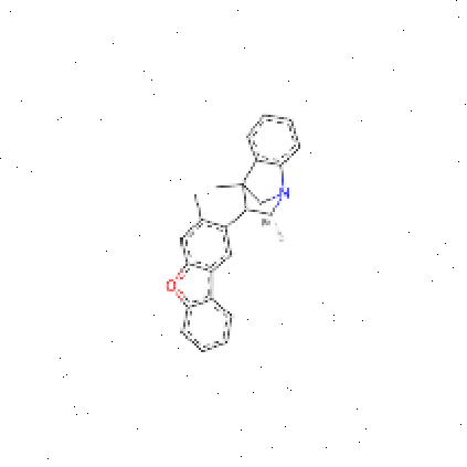 Cc1cc2oc3ccccc3c2cc1C1[C@@H](C)N2CC1(C)c1ccccc12